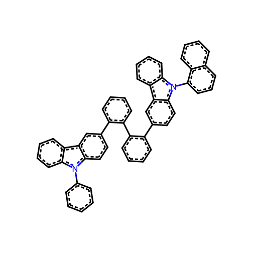 c1ccc(-n2c3ccccc3c3cc(-c4ccccc4-c4ccccc4-c4ccc5c(c4)c4ccccc4n5-c4cccc5ccccc45)ccc32)cc1